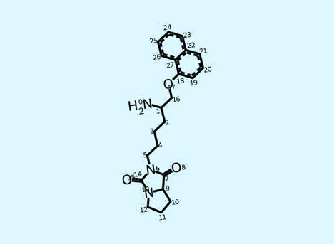 NC(CCCCN1C(=O)C2CCCN2C1=O)COc1cccc2ccccc12